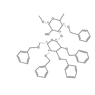 CO[C@@H]1OC(C)[C@H](OCc2ccccc2)[C@H](O[C@H]2O[C@@H](COCc3ccccc3)[C@@H](OCc3ccccc3)C(OCc3ccccc3)C2OCc2ccccc2)C1O